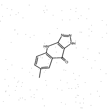 Cc1ccc2[nH]c3nn[nH]c3c(=O)c2c1